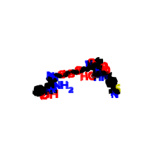 Cc1ncsc1-c1ccc([C@H](C)NC(=O)[C@@H]2C[C@@H](O)CN2C(=O)[C@@H](c2cc(CCCOCCOCCOCCn3cc(-c4cc(-c5ccccc5O)nnc4N)cn3)no2)C(C)C)cc1